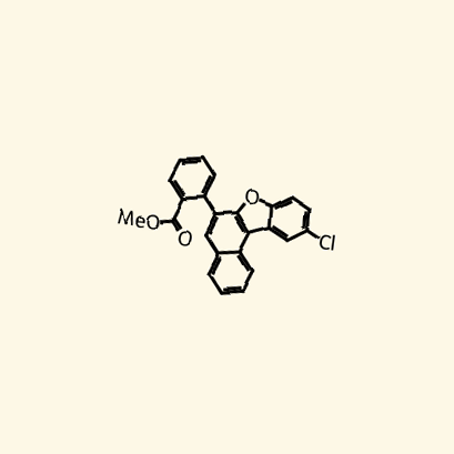 COC(=O)c1ccccc1-c1cc2ccccc2c2c1oc1ccc(Cl)cc12